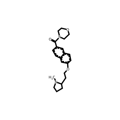 CN1CCCC1CCOc1ccc2cc(C(=O)N3CCOCC3)ccc2c1